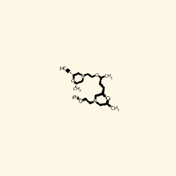 C#C[C@@H]1CN(CCOC(C)CCC2CN(CCOC(C)C)CC(C)O2)C[C@H](C)O1